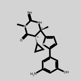 CN1C(=N)N[C@](C)(c2ccc(-c3cc(N)cc(O)c3)s2)[C@H](C2CC2)C1=O